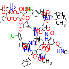 CC[C@H](CC(C)C)C(=O)N[C@H]1C(=O)C[C@@H](CC(=O)NC(=O)c2cc(COCCNC)cc(OCCNC)c2)C(=O)N[C@H]2C(=O)C[C@H]3C(=O)N[C@H](C(=O)N[C@H](C(=O)CC4C5CC6CC(C5)CC4C6)c4cc(O)cc(O)c4-c4cc3ccc4O)[C@H](O)c3ccc(c(Cl)c3)Oc3cc2cc(c3O[C@@H]2O[C@H](CO)[C@@H](O)[C@H](O)[C@H]2O[C@H]2C[C@](C)(N)[C@H](O)[C@H](C)O2)Oc2ccc(cc2Cl)[C@H]1O